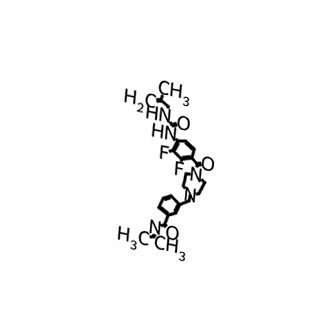 C=C(C)CNC(=O)Nc1ccc(C(=O)N2CCN(Cc3cccc(C(=O)N=C(C)C)c3)CC2)c(F)c1F